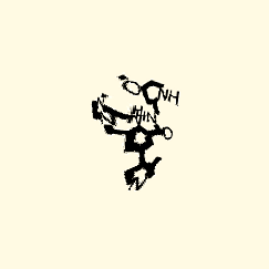 COC1CCNC(CNC(=O)c2cc(Cn3ccn(C)c3=N)cc(-c3ccncc3C)c2)C1